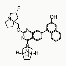 Oc1cc(-c2ccc3c(N4C[C@H]5CC[C@@H](C4)N5)nc(OC[C@@]45CCCN4C[C@H](F)C5)nc3c2)c2ccccc2c1